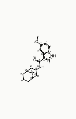 COc1ccc2[nH]nc(C(=O)NC3CC4CCCC(C3)N4C)c2c1